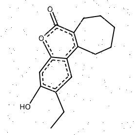 CCc1cc2c3c(c(=O)oc2cc1O)CCCCC3